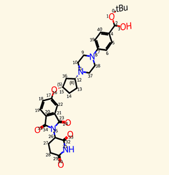 CC(C)(C)OC(O)c1ccc(N2CCN([C@@H]3CC[C@H](Oc4ccc5c(c4)C(=O)N(C4CCC(=O)NC4=O)C5=O)C3)CC2)cc1